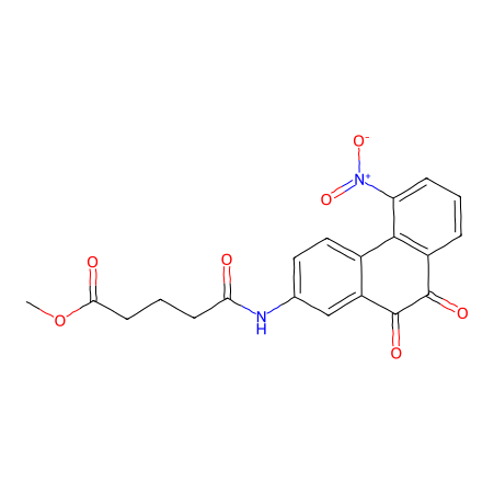 COC(=O)CCCC(=O)Nc1ccc2c(c1)C(=O)C(=O)c1cccc([N+](=O)[O-])c1-2